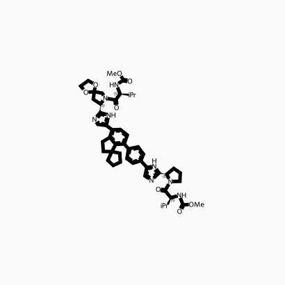 COC(=O)N[C@H](C(=O)N1CCC[C@H]1c1ncc(-c2ccc(-c3ccc(-c4cnc([C@@H]5CC6(CN5C(=O)[C@@H](NC(=O)OC)C(C)C)OCCO6)[nH]4)c4c3C3(CCCC3)CC4)cc2)[nH]1)C(C)C